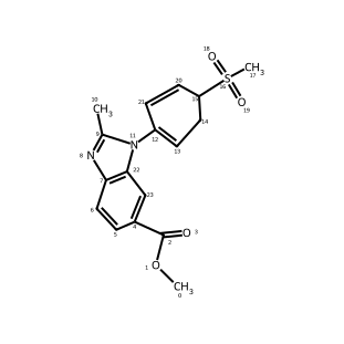 COC(=O)c1ccc2nc(C)n(C3=CCC(S(C)(=O)=O)C=C3)c2c1